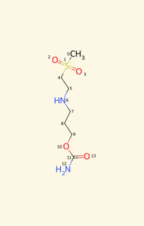 CS(=O)(=O)CCNCCCOC(N)=O